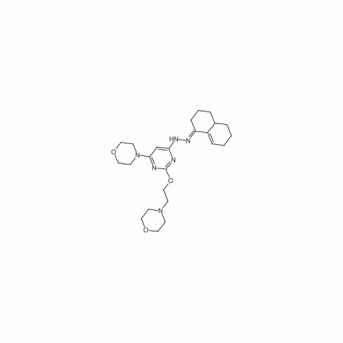 C1=C2C(=NNc3cc(N4CCOCC4)nc(OCCN4CCOCC4)n3)CCCC2CCC1